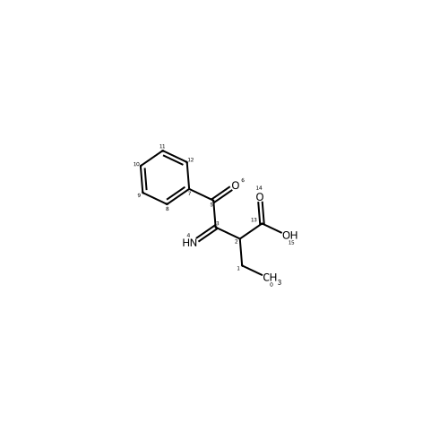 CCC(C(=N)C(=O)c1ccccc1)C(=O)O